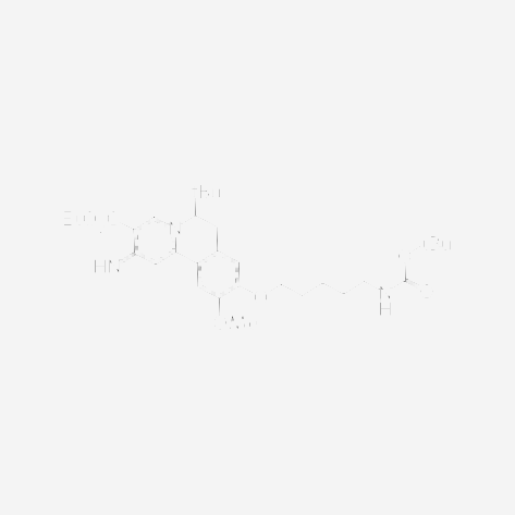 CCOC(=O)c1cn2c(cc1=N)-c1cc(OC)c(OCCCCCNC(=O)OC(C)(C)C)cc1CC2C(C)(C)C